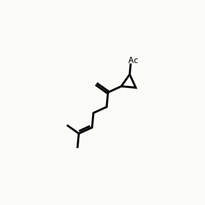 C=C(CCC=C(C)C)C1CC1C(C)=O